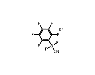 N#C[B-](F)(F)c1c(F)c(F)c(F)c(F)c1F.[K+]